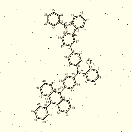 FC(F)(F)c1ccccc1N(c1ccc(-c2ccc3c(c2)c2ccccc2n3-c2ccccc2)cc1)c1ccc(-c2c3ccccc3c(-c3ccccc3)c3ccccc23)cc1